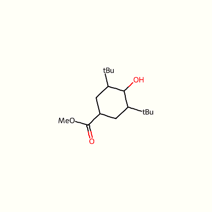 COC(=O)C1CC(C(C)(C)C)C(O)C(C(C)(C)C)C1